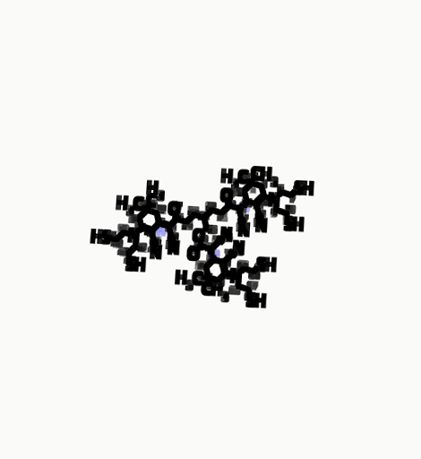 CC1(C)CC(N(CCS)CCS)=C(C#N)/C(=C(\C#N)C(=O)CCC(CCC(=O)/C(C#N)=C2\CC(C)(C)CC(N(CCS)CCS)=C2C#N)COC(=O)/C(C#N)=C2\CC(C)(C)CC(N(CCS)CCS)=C2C#N)C1